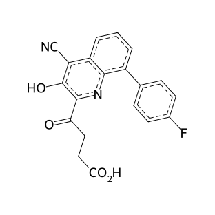 N#Cc1c(O)c(C(=O)CCC(=O)O)nc2c(-c3ccc(F)cc3)cccc12